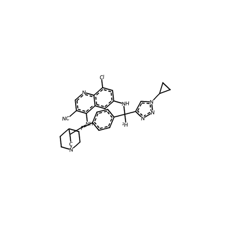 [2H]C(Nc1cc(Cl)c2ncc(C#N)c(NC3CN4CCC3CC4)c2c1)(c1ccc(F)cc1)c1cn(C2CC2)nn1